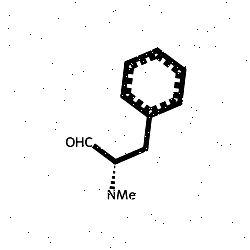 CN[C@H](C=O)Cc1ccccc1